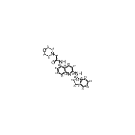 O=C(CN1CCOCC1)Nc1cccc2nc(N[C@@H]3CCc4ccccc43)ccc12